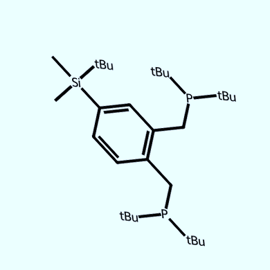 CC(C)(C)P(Cc1ccc([Si](C)(C)C(C)(C)C)cc1CP(C(C)(C)C)C(C)(C)C)C(C)(C)C